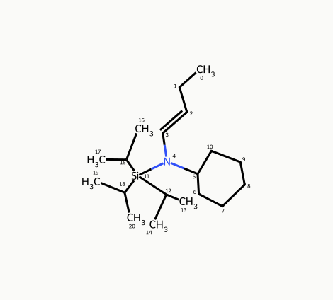 CC/C=C/N(C1CCCCC1)[Si](C(C)C)(C(C)C)C(C)C